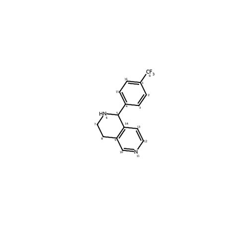 FC(F)(F)c1ccc(C2NCCc3cnccc32)cc1